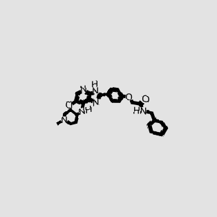 CN1CCC(Nc2c(Cl)cnc3[nH]c(-c4ccc(OCC(=O)NCC5CCCCC5)cc4)nc23)CC1